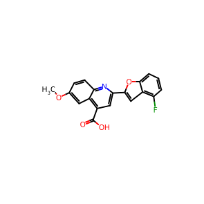 COc1ccc2nc(-c3cc4c(F)cccc4o3)cc(C(=O)O)c2c1